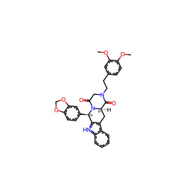 COc1ccc(CCN2CC(=O)N3[C@H](c4ccc5c(c4)OCO5)c4[nH]c5ccccc5c4C[C@@H]3C2=O)cc1OC